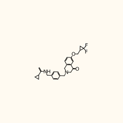 C=C(NCc1ccc(CN2CC(=O)c3cc(OCC4CC4(F)F)ccc3C2)cc1)C1CC1